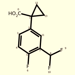 O=C(O)C1(c2ccc(F)c(C(F)F)c2)CC1